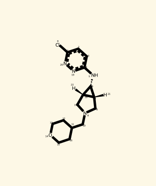 Clc1ccc(N[C@@H]2[C@@H]3CN(CC4CCOCC4)C[C@@H]32)nn1